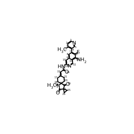 Cc1ccncc1-c1cc2cc(NC(=O)C=C3CCC4(CC3)C(=O)C3(CC3)C(=O)N4C)ncc2c(N)c1F